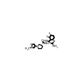 Cn1cc(N2CCC[C@@H](C(=O)NNc3nc(N)nc4ccc(F)c(F)c34)C2)cn1